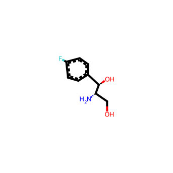 N[C@@H](CO)[C@H](O)c1ccc(F)cc1